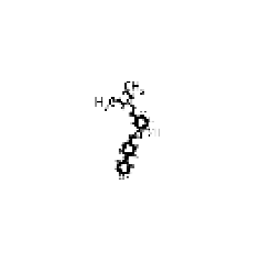 CCCN(CCC)CCc1cccc(OCc2ccc(-c3ccccc3)cc2)c1.Cl